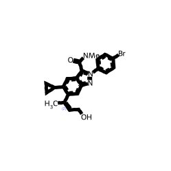 CNC(=O)c1c2cc(C3CC3)c(/C(C)=C\CO)cc2nn1-c1ccc(Br)cc1